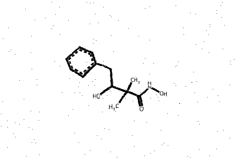 CC(C)(C(=O)NO)C(O)Cc1ccccc1